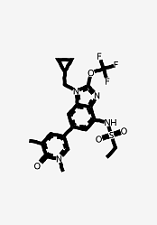 CCS(=O)(=O)Nc1cc(-c2cc(C)c(=O)n(C)c2)cc2c1nc(OC(F)(F)F)n2CC1CC1